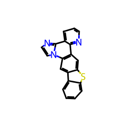 c1ccc2c(c1)sc1cc3c4ncccc4c4nccn4c3cc12